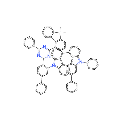 CC1(C)c2ccccc2-c2c(C3=NC(c4ccccc4)=NC(c4ccc(-c5ccccc5)cc4-n4c5ccccc5c5c(-c6cccc7c6c6ccc(-c8ccccc8)cc6n7-c6ccccc6)cccc54)N3)cccc21